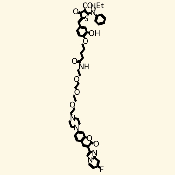 CCOC(=O)C1=C(Nc2ccccc2)S/C(=C\c2ccc(OCCCCC(=O)NCCOCCOCCOCCN3CCN(c4ccc5cc(-c6cn7ccc(F)cc7n6)c(=O)oc5c4)CC3)c(O)c2)C1=O